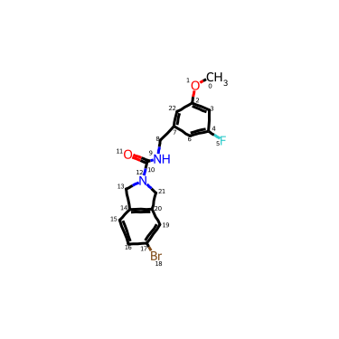 COc1cc(F)cc(CNC(=O)N2Cc3ccc(Br)cc3C2)c1